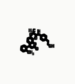 Cc1ccccc1-c1cc(=O)oc2cc(OC(C)C(=O)Nc3ccc(CCO)cc3)ccc12